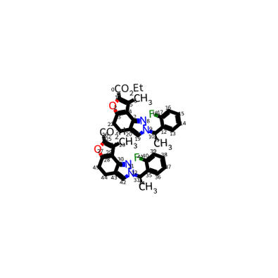 CCOC(=O)c1oc2c(c1C)-c1nn([C@H](C)c3ccccc3F)cc1CC2.Cc1c(C(=O)O)oc2c1-c1nn([C@H](C)c3ccccc3F)cc1CC2